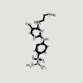 CC(=O)NCCNc1nc(Nc2ccc(S(=O)(=O)N(C)C)cc2)ncc1Cl